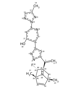 C=C(c1nnc(-c2cnc(-n3ncc(C)n3)cc2O)s1)[C@H]1C[C@]2(C)C=C[C@@](C)(N2)[C@@H]1F